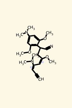 C#C/C=C(\C=C(/CC(C#N)c1c(OC)cc(N(C)C)cc1OC)OC)N(C)C